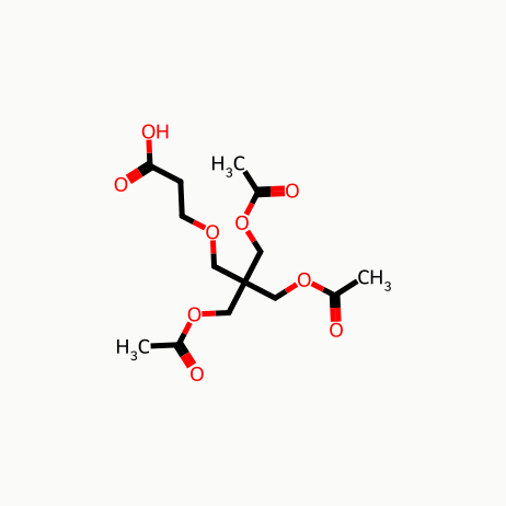 CC(=O)OCC(COCCC(=O)O)(COC(C)=O)COC(C)=O